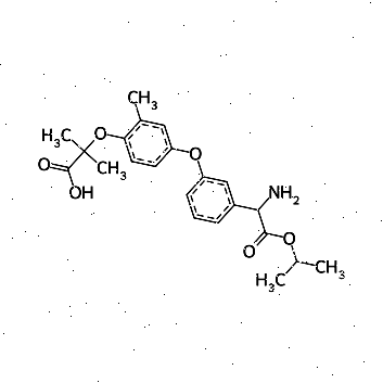 Cc1cc(Oc2cccc(C(N)C(=O)OC(C)C)c2)ccc1OC(C)(C)C(=O)O